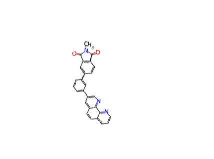 CN1C(=O)c2ccc(-c3cccc(-c4cnc5c(ccc6cccnc65)c4)c3)cc2C1=O